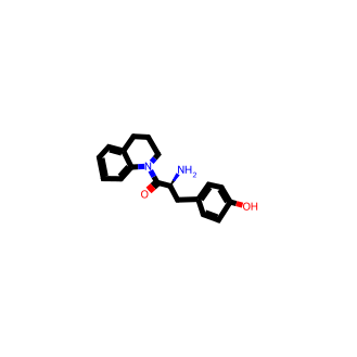 N[C@@H](Cc1ccc(O)cc1)C(=O)N1CCCc2ccccc21